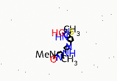 CNC(=O)c1ccc(NC2CCN(Cc3ccc4c(c3)NC(O)N(C)C4=S)C2)c(C)n1